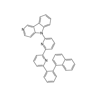 c1cc(-c2cccc(-n3c4ccccc4c4cnccc43)n2)nc(-c2ccccc2-c2cccc3ccccc23)c1